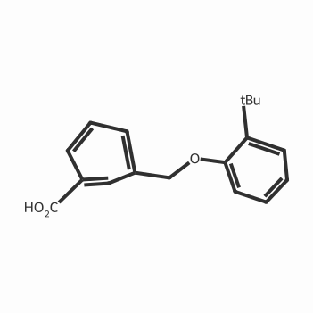 CC(C)(C)c1ccccc1OCc1cccc(C(=O)O)c1